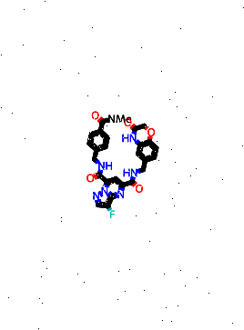 CNC(=O)c1ccc(CNC(=O)c2cc(C(=O)NCc3ccc4c(c3)NC(=O)CO4)nc3c(F)cnn23)cc1